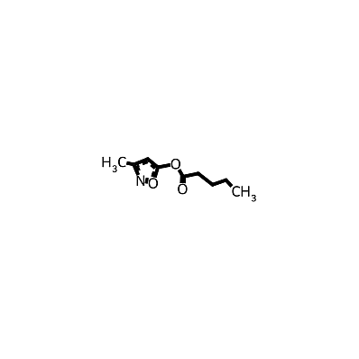 CCCCC(=O)Oc1cc(C)no1